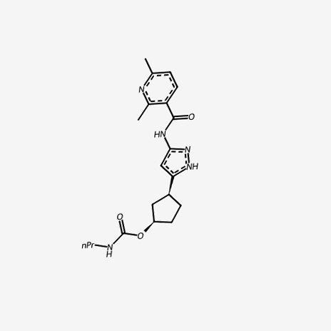 CCCNC(=O)O[C@@H]1CC[C@H](c2cc(NC(=O)c3ccc(C)nc3C)n[nH]2)C1